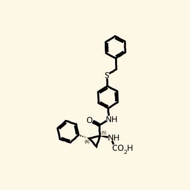 O=C(O)N[C@@]1(C(=O)Nc2ccc(SCc3ccccc3)cc2)C[C@@H]1c1ccccc1